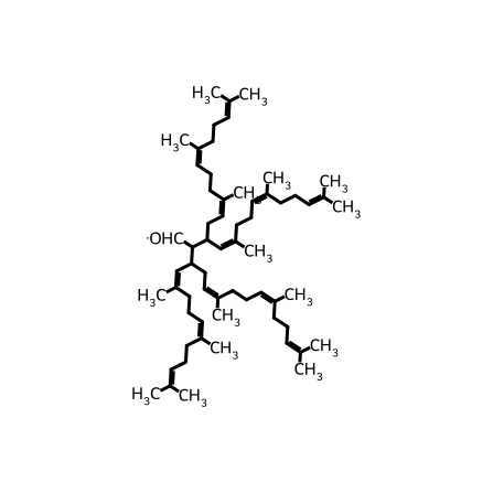 CC(C)=CCCC(C)=CCCC(C)=CCC(C=C(C)CCC=C(C)CCC=C(C)C)C([C]=O)C(C=C(C)CCC=C(C)CCC=C(C)C)CC=C(C)CCC=C(C)CCC=C(C)C